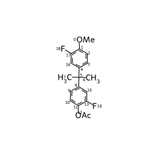 COc1ccc(C(C)(C)c2ccc(OC(C)=O)c(F)c2)cc1F